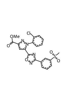 COC(=O)c1cc(-c2nc(-c3cccc(S(C)(=O)=O)c3)no2)n(-c2ccccc2Cl)n1